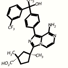 CC(O)(c1ccc(-c2nc([C@@]3(C)CC[C@](C)(C(=O)O)C3)n3ccnc(N)c23)cc1)c1cccc(C(F)(F)F)c1